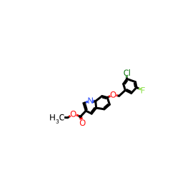 CCOC(=O)c1cnc2cc(OCc3cc(F)cc(Cl)c3)ccc2c1